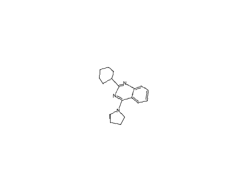 c1ccc2c(N3CCCC3)nc(C3CCCCC3)nc2c1